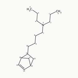 CCCN(CCC)CCCCC1CC2C=CC1C2